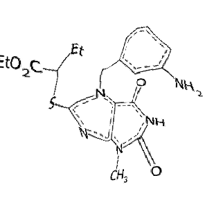 CCOC(=O)C(CC)Sc1nc2c(c(=O)[nH]c(=O)n2C)n1Cc1cccc(N)c1